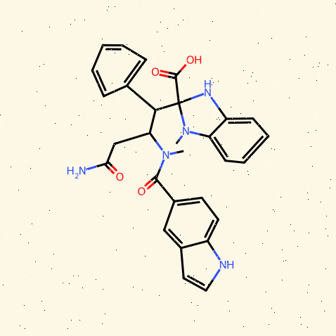 CN(C(=O)c1ccc2[nH]ccc2c1)C(CC(N)=O)C(c1ccccc1)C1(C(=O)O)Nc2ccccc2N1C